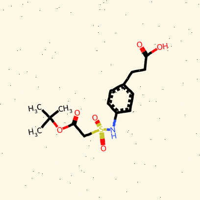 CC(C)(C)OC(=O)CS(=O)(=O)Nc1ccc(CCC(=O)O)cc1